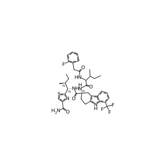 CCC(C)C(NC(=O)Cc1ccccc1F)C(=O)N[C@@]1(C(=O)N[C@H](c2nc(C(N)=O)cs2)[C@@H](C)CC)CCc2[nH]c3c(C(F)(F)F)cccc3c2C1